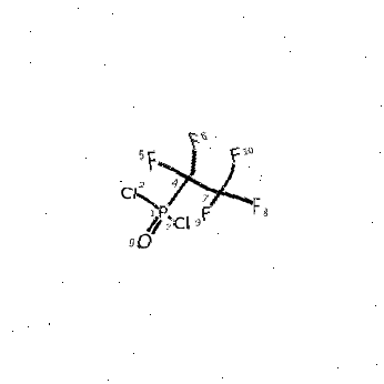 O=P(Cl)(Cl)C(F)(F)C(F)(F)F